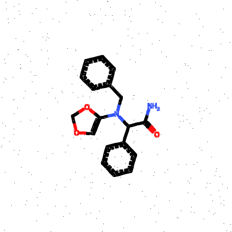 NC(=O)C(c1ccccc1)N(Cc1ccccc1)C1=COCO1